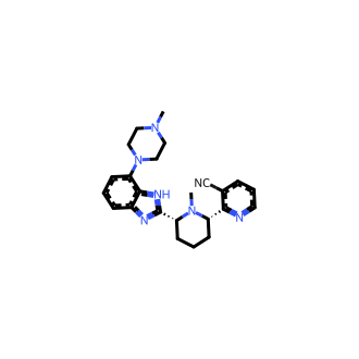 CN1CCN(c2cccc3nc([C@H]4CCC[C@@H](c5ncccc5C#N)N4C)[nH]c23)CC1